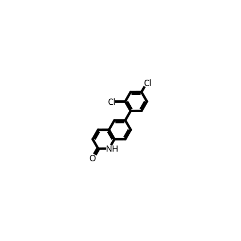 O=c1ccc2cc(-c3ccc(Cl)cc3Cl)ccc2[nH]1